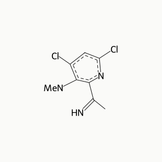 CNc1c(Cl)cc(Cl)nc1C(C)=N